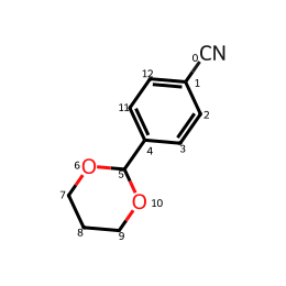 N#Cc1ccc(C2OCCCO2)cc1